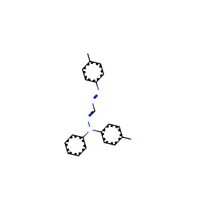 Cc1ccc(N=N[C]=NN(c2ccccc2)c2ccc(C)cc2)cc1